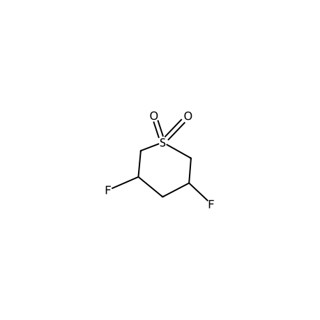 O=S1(=O)CC(F)CC(F)C1